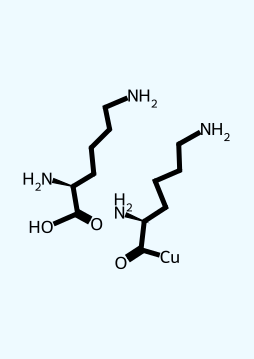 NCCCC[C@H](N)C(=O)O.NCCCC[C@H](N)[C](=O)[Cu]